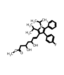 COC(=O)CC(O)CC(O)/C=C/c1c(-c2ccc(F)cc2)c(-c2ccccc2)n(C(C)C)c1C(C)C